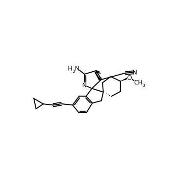 CO[C@H]1CC[C@]2(CC1)Cc1ccc(C#CC3CC3)cc1C21N=C(N)c2ccc(C#N)cc21